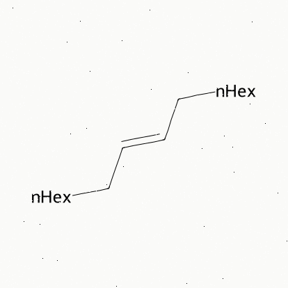 [CH2]CCCCCC/C=C/CCCCCC[CH2]